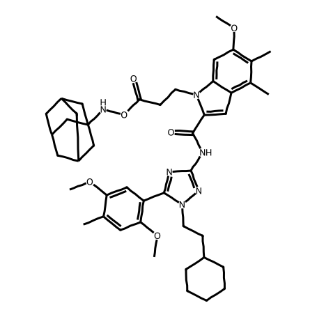 COc1cc(-c2nc(NC(=O)c3cc4c(C)c(C)c(OC)cc4n3CCC(=O)ONC34CC5CC(CC(C5)C3)C4)nn2CCC2CCCCC2)c(OC)cc1C